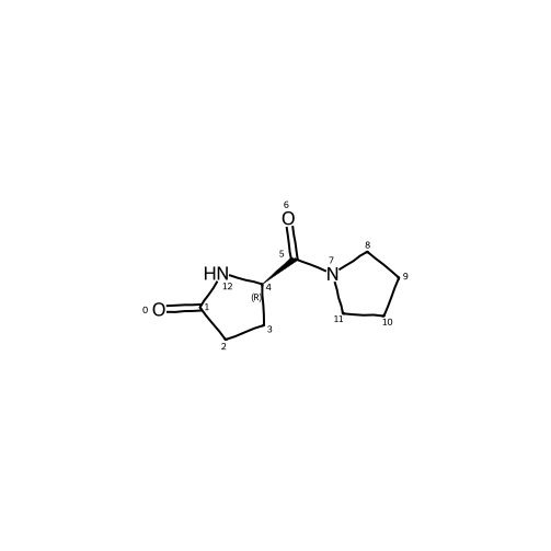 O=C1CC[C@H](C(=O)N2CCCC2)N1